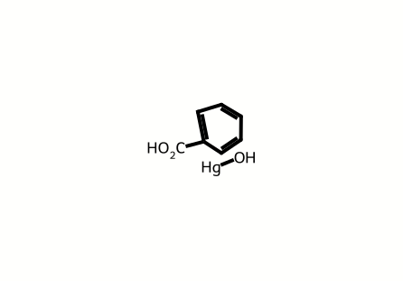 O=C(O)c1ccccc1.[OH][Hg]